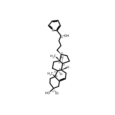 CC[C@]1(O)CC[C@@]2(C)C(=CC[C@H]3[C@@H]4CC[C@H](CCC[C@@H](O)c5ccccn5)[C@@]4(C)CC[C@@H]32)C1